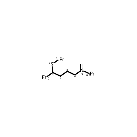 CCC(CCCNC(C)C)SC(C)C